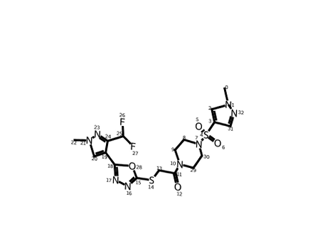 Cn1cc(S(=O)(=O)N2CCN(C(=O)CSc3nnc(-c4cn(C)nc4C(F)F)o3)CC2)cn1